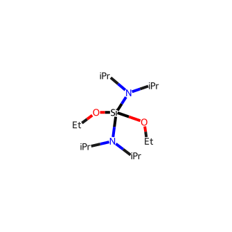 CCO[Si](OCC)(N(C(C)C)C(C)C)N(C(C)C)C(C)C